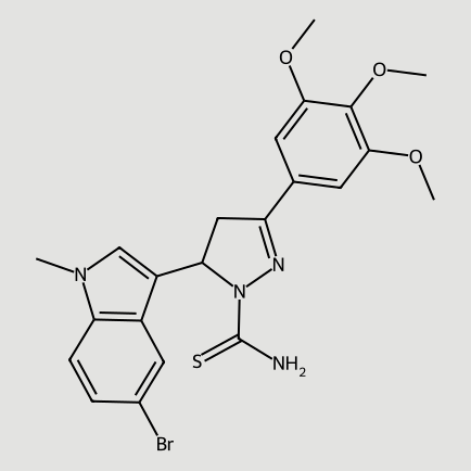 COc1cc(C2=NN(C(N)=S)C(c3cn(C)c4ccc(Br)cc34)C2)cc(OC)c1OC